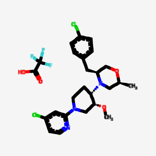 CO[C@@H]1CN(c2cc(Cl)ccn2)CC[C@@H]1N1C[C@H](C)OC[C@@H]1Cc1ccc(Cl)cc1.O=C(O)C(F)(F)F